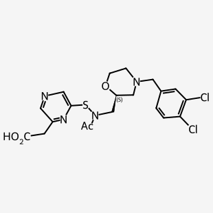 CC(=O)N(C[C@@H]1CN(Cc2ccc(Cl)c(Cl)c2)CCO1)Sc1cncc(CC(=O)O)n1